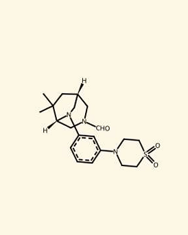 CC1(C)C[C@@H]2CN(C=O)C[C@H]1N(c1cccc(N3CCS(=O)(=O)CC3)c1)C2